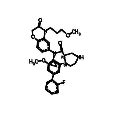 COCCCN1C(=O)COc2ccc(N(C(=O)[C@H]3CNCC[C@@H]3c3cc(OC)cc(-c4ccccc4F)c3)C3CC3)cc21